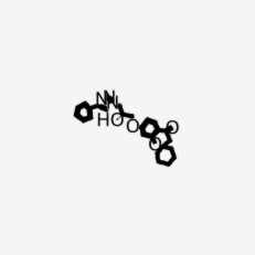 O=C1CC2(CCCCC2)Oc2cc(OC[C@H](O)Cn3cc(-c4ccccc4)nn3)ccc21